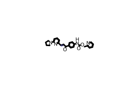 O=C(Nc1ccc(C(=O)/C=C/c2cccc(N3CCCC3)n2)cc1)OCc1ccccn1